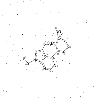 CCOC(=O)c1cn(SF)c2ncnc(-c3cccc([N+](=O)[O-])c3)c12